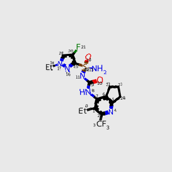 CCc1c(C(F)(F)F)nc2c(c1NC(=O)N=[S@](N)(=O)c1nn(CC)cc1F)CCC2